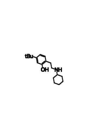 CC(C)(C)c1ccc(CCNC2CCCCC2)c(O)c1